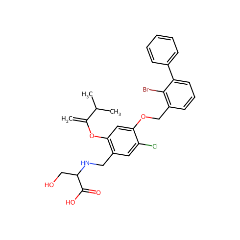 C=C(Oc1cc(OCc2cccc(-c3ccccc3)c2Br)c(Cl)cc1CNC(CO)C(=O)O)C(C)C